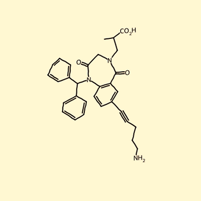 CC(CN1CC(=O)N(C(c2ccccc2)c2ccccc2)c2ccc(C#CCCCN)cc2C1=O)C(=O)O